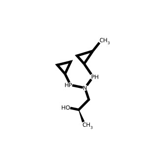 CC1CC1PN(C[C@@H](C)O)PC1CC1